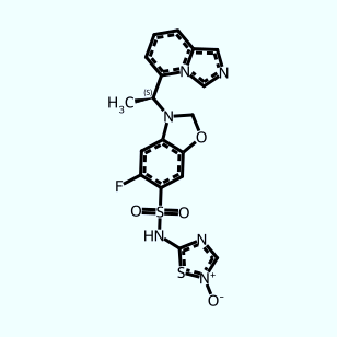 C[C@@H](c1cccc2cncn12)N1COc2cc(S(=O)(=O)Nc3nc[n+]([O-])s3)c(F)cc21